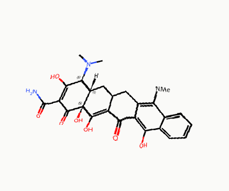 CNc1c2c(c(O)c3ccccc13)C(=O)C1=C(O)[C@]3(O)C(=O)C(C(N)=O)=C(O)[C@@H](N(C)C)[C@@H]3CC1C2